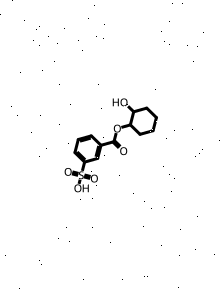 O=C(OC1CCCCC1O)c1cccc(S(=O)(=O)O)c1